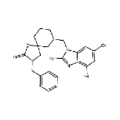 [2H]c1cc(C#N)cc2c1nc([2H])n2CC1CCCC2(C1)CN(Cc1ccccc1)C(=O)O2